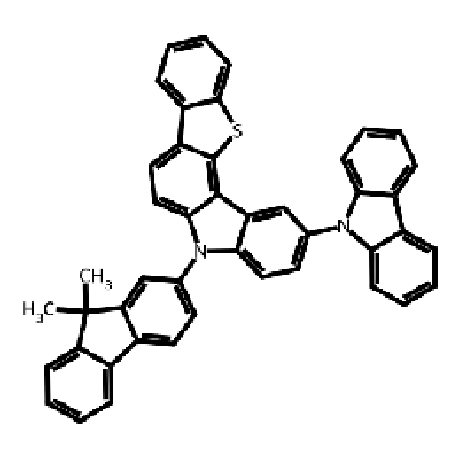 CC1(C)c2ccccc2-c2ccc(-n3c4ccc(-n5c6ccccc6c6ccccc65)cc4c4c5sc6ccccc6c5ccc43)cc21